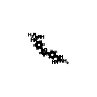 N=C(N)Nc1ccc(-c2ccc(-c3ccc(NC(=N)N)cc3)o2)cc1